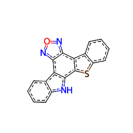 c1ccc2c(c1)[nH]c1c3sc4ccccc4c3c3nonc3c21